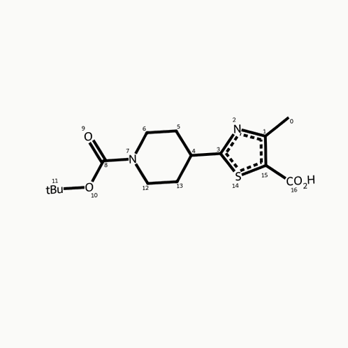 Cc1nc(C2CCN(C(=O)OC(C)(C)C)CC2)sc1C(=O)O